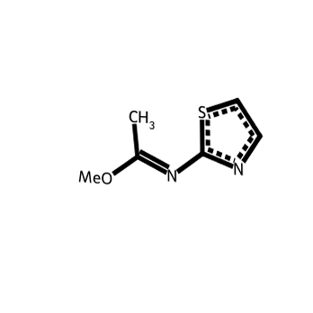 COC(C)=Nc1nccs1